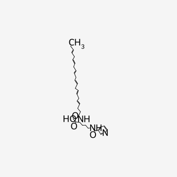 CCC=CCC=CCC=CCC=CCC=CCC=CCCC(=O)NC(CCCNC(=O)c1cccnc1)C(=O)O